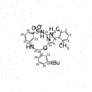 Cc1cccc(C)c1-c1cc2nc(n1)NS(=O)(=O)c1cccc(c1)NC[C@@H](c1cccc(C(C)(C)C)c1)O2